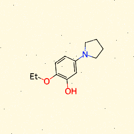 CCOc1ccc(N2CCCC2)cc1O